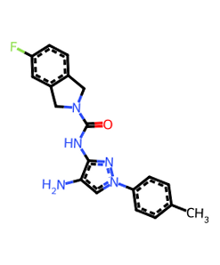 Cc1ccc(-n2cc(N)c(NC(=O)N3Cc4ccc(F)cc4C3)n2)cc1